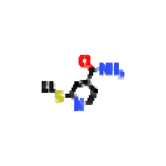 CCSc1cc(C(N)=O)ccn1